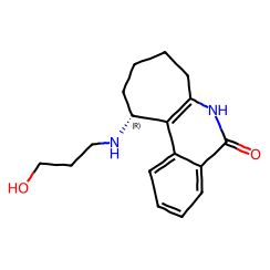 O=c1[nH]c2c(c3ccccc13)[C@H](NCCCO)CCCC2